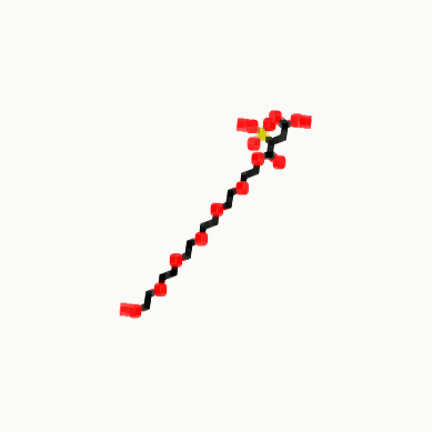 O=C(O)CC(C(=O)OCCOCCOCCOCCOCCOCCO)S(=O)(=O)O